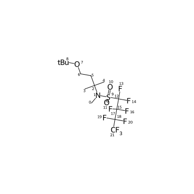 CN(C(C)(C)CCOC(C)(C)C)S(=O)(=O)C(F)(F)C(F)(F)C(F)(F)C(F)(F)F